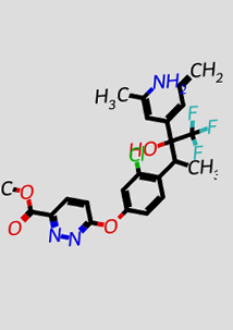 C=C/C=C(\C=C(\C)N)C(O)(C(C)c1ccc(Oc2ccc(C(=O)OC)nn2)cc1Cl)C(F)(F)F